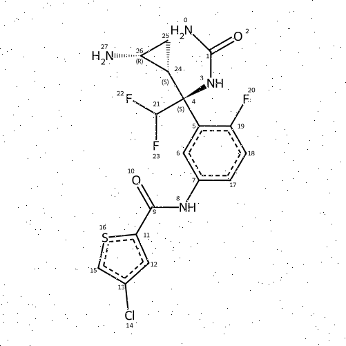 NC(=O)N[C@@](c1cc(NC(=O)c2cc(Cl)cs2)ccc1F)(C(F)F)[C@H]1C[C@H]1N